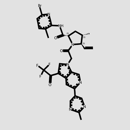 C=C[C@@H]1[C@@H](C)C[C@@H](C(=O)Nc2nc(Br)ccc2C)N1C(=O)Cn1cc(C(=O)C(F)(F)F)c2cc(-c3cnc(C)nc3)ncc21